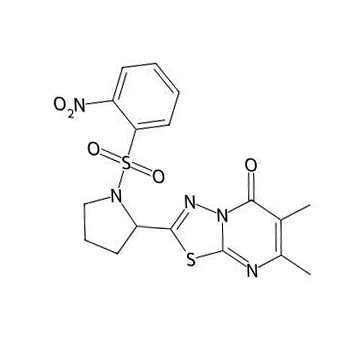 Cc1nc2sc(C3CCCN3S(=O)(=O)c3ccccc3[N+](=O)[O-])nn2c(=O)c1C